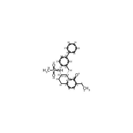 CCc1ccc2n(c1=O)[C@@H](Cc1cccc(-c3ccccc3)c1)[C@@H](NS(C)(=O)=O)CC2